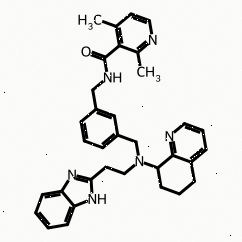 Cc1ccnc(C)c1C(=O)NCc1cccc(CN(CCc2nc3ccccc3[nH]2)C2CCCc3cccnc32)c1